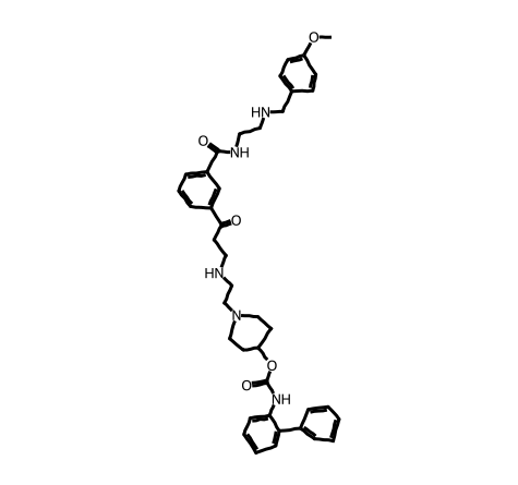 COc1ccc(CNCCNC(=O)c2cccc(C(=O)CCNCCN3CCC(OC(=O)Nc4ccccc4-c4ccccc4)CC3)c2)cc1